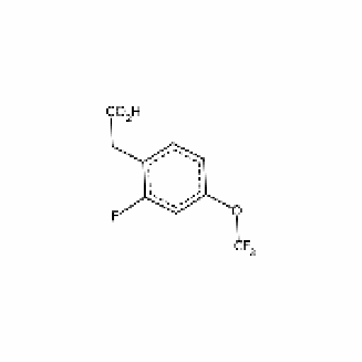 O=C(O)Cc1ccc(OC(F)(F)F)cc1F